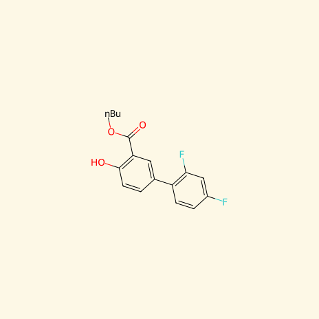 CCCCOC(=O)c1cc(-c2ccc(F)cc2F)ccc1O